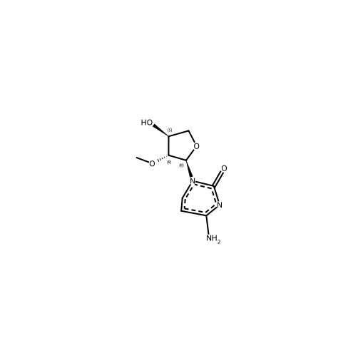 CO[C@H]1[C@H](n2ccc(N)nc2=O)OC[C@@H]1O